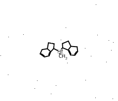 [CH2]=[Hf]([CH]1CCC2CC=CC=C21)[CH]1CCC2CC=CC=C21